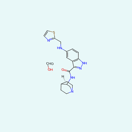 O=C(N[C@H]1CN2CCC1CC2)c1n[nH]c2ccc(NCc3nccs3)cc12.O=CO